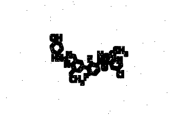 CCc1cc(-c2c(F)ccc(NS(=O)(=O)c3cc(Cl)cnc3OC)c2F)cc2cnc(NC3CCC(O)CC3)nc12